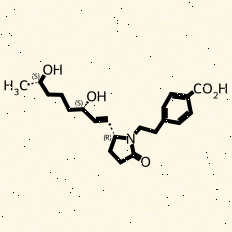 C[C@H](O)CCC[C@H](O)C=C[C@H]1CCC(=O)N1CCc1ccc(C(=O)O)cc1